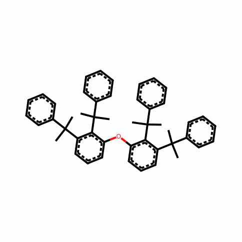 CC(C)(c1ccccc1)c1cccc(Oc2cccc(C(C)(C)c3ccccc3)c2C(C)(C)c2ccccc2)c1C(C)(C)c1ccccc1